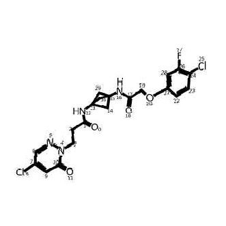 O=C(CCn1ncc(Cl)cc1=O)NC12CC(NC(=O)COc3ccc(Cl)c(F)c3)(C1)C2